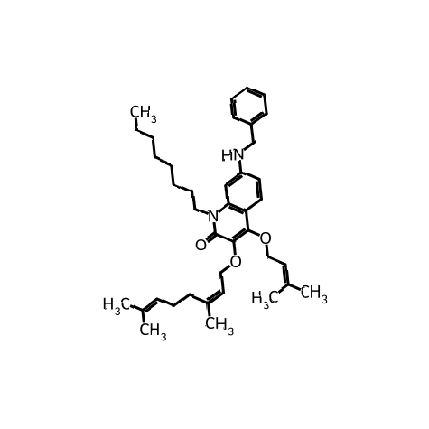 CCCCCCCCn1c(=O)c(OCC=C(C)CCC=C(C)C)c(OCC=C(C)C)c2ccc(NCc3ccccc3)cc21